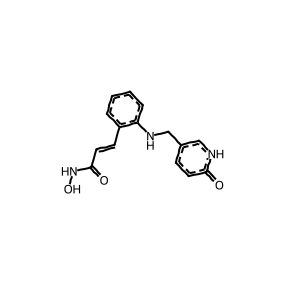 O=C(/C=C/c1ccccc1NCc1ccc(=O)[nH]c1)NO